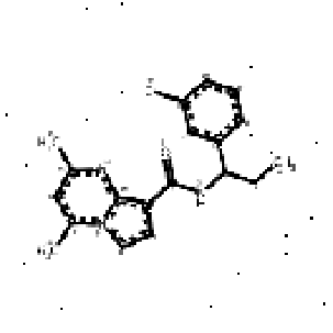 CCC(NC(=O)c1ccn2c(C)cc(C)nc12)c1cccc(Cl)c1